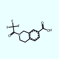 O=C(O)c1ccc2c(c1)CN(C(=O)C(F)(F)F)CC2